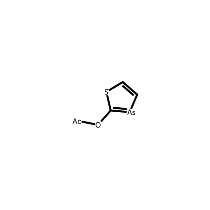 CC(=O)OC1=[As]C=CS1